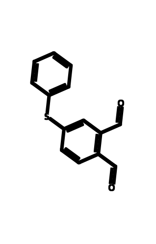 O=Cc1ccc(Sc2ccccc2)cc1C=O